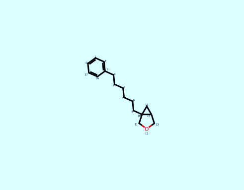 c1ccc(CCCCCCC23COCC2C3)cc1